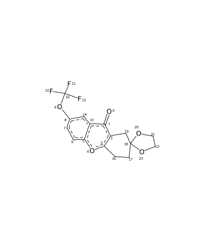 O=c1c2c(oc3ccc(OC(F)(F)F)cc13)CCC1(C2)OCCO1